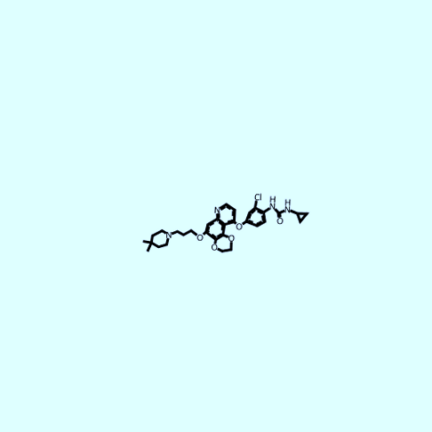 CC1(C)CCN(CCCOc2cc3nccc(Oc4ccc(NC(=O)NC5CC5)c(Cl)c4)c3c3c2OCCO3)CC1